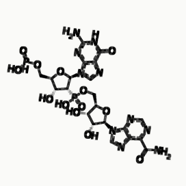 NC(=O)c1ncnc2c1ncn2[C@@H]1O[C@H](COP(=O)(O)[C@@H]2[C@H](O)[C@@H](CO[PH](=O)O)O[C@H]2n2cnc3c(=O)[nH]c(N)nc32)[C@@H](O)[C@H]1O